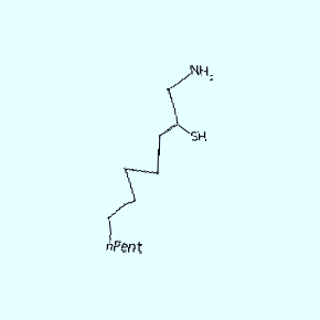 CCCCCCCCCCC(S)CN